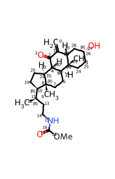 C=C1C(=O)[C@@H]2[C@H](CC[C@]3(C)[C@@H]([C@H](C)CCNC(=O)OC)CC[C@@H]23)[C@@]2(C)CC[C@@H](O)C[C@@H]12